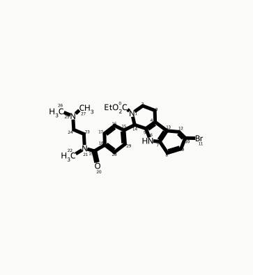 CCOC(=O)N1CCc2c([nH]c3ccc(Br)cc23)C1c1ccc(C(=O)N(C)CCN(C)C)cc1